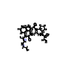 C=C/C=N\C=C(/C)N1C(=O)Nc2c(C(=O)NC3CCCC3NC(=O)C=C)sc3nccc1c23